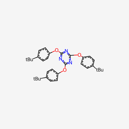 CC(C)(C)c1ccc(Oc2nc(Oc3ccc(C(C)(C)C)cc3)nc(Oc3ccc(C(C)(C)C)cc3)n2)cc1